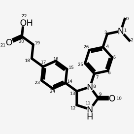 CN(C)Cc1ccc(N2C(=O)NCC2c2ccc(CCC(=O)O)cc2)cc1